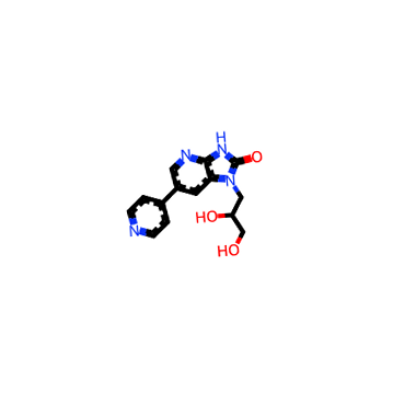 O=c1[nH]c2ncc(-c3ccncc3)cc2n1CC(O)CO